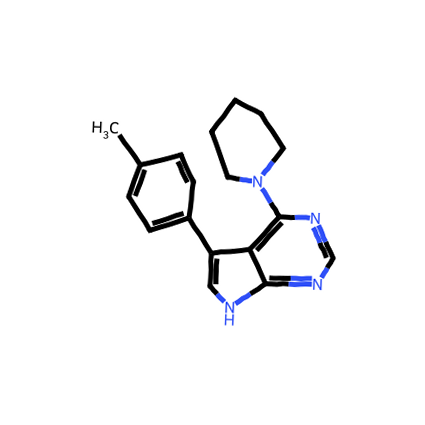 Cc1ccc(-c2c[nH]c3ncnc(N4CCCCC4)c23)cc1